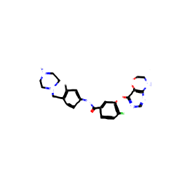 CCN1CCN(Cc2ccc(NC(=O)c3ccc(Cl)c(Oc4ncnc5c4OC[C@H](C)N5)c3)cc2C(F)(F)F)CC1